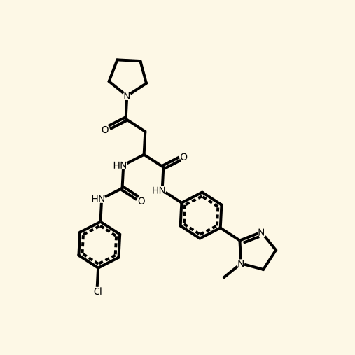 CN1CCN=C1c1ccc(NC(=O)C(CC(=O)N2CCCC2)NC(=O)Nc2ccc(Cl)cc2)cc1